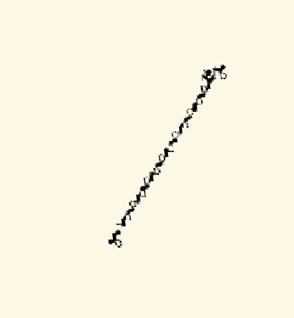 CC(=O)CCOCCOCCOCCOCCOCCOCCOCCOCCOCCOCCOCCOCCOCc1cn(CC(C)=O)nn1